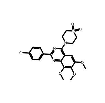 COc1cc2c(N3CCS(=O)(=O)CC3)nc(-c3ccc(Cl)cc3)nc2c(OC)c1OC